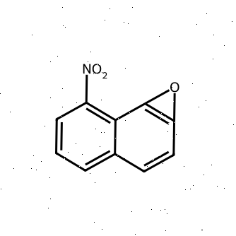 O=[N+]([O-])c1cccc2ccc3c(c12)O3